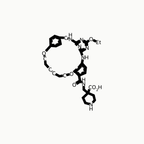 CCOc1nc2nc(n1)Nc1ccc(C(=O)NCC3(C(=O)O)CCNCC3)c(c1)OCCCCCCOc1ccc(cc1)CN2